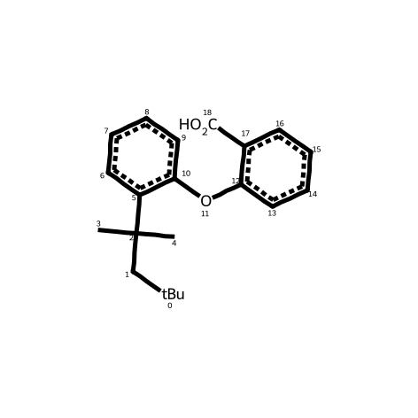 CC(C)(C)CC(C)(C)c1ccccc1Oc1ccccc1C(=O)O